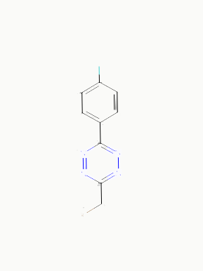 Fc1ccc(-c2nnc(CBr)nn2)cc1